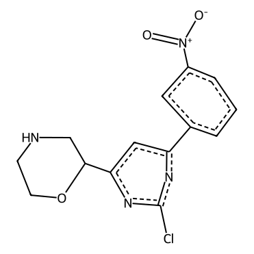 O=[N+]([O-])c1cccc(-c2cc(C3CNCCO3)nc(Cl)n2)c1